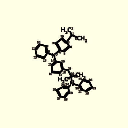 CC(C)c1ccc(N(c2ccccc2)c2cccc(CC(C)(C)N(c3ccccc3)c3ccccc3)c2)cc1